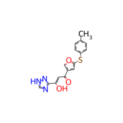 Cc1ccc(Sc2cc(C(=O)C=C(O)c3nc[nH]n3)co2)cc1